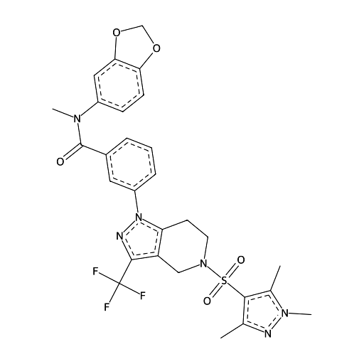 Cc1nn(C)c(C)c1S(=O)(=O)N1CCc2c(c(C(F)(F)F)nn2-c2cccc(C(=O)N(C)c3ccc4c(c3)OCO4)c2)C1